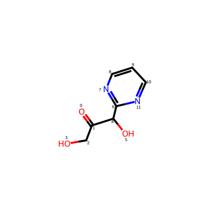 O=C(CO)C(O)c1ncccn1